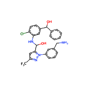 NCc1cccc(-n2nc(C(F)(F)F)cc2C(O)Nc2cc(C(O)c3ccccc3)ccc2Cl)c1